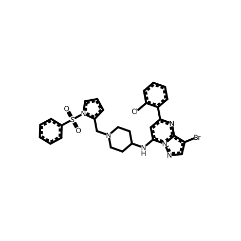 O=S(=O)(c1ccccc1)n1cccc1CN1CCC(Nc2cc(-c3ccccc3Cl)nc3c(Br)cnn23)CC1